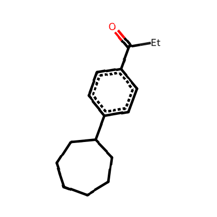 CCC(=O)c1ccc(C2CCCCCC2)cc1